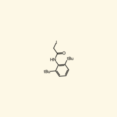 CC(C)(C)c1cccc(C(C)(C)C)c1NC(=O)CI